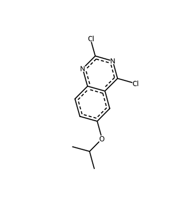 CC(C)Oc1ccc2nc(Cl)nc(Cl)c2c1